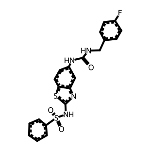 O=C(NCc1ccc(F)cc1)Nc1ccc2sc(NS(=O)(=O)c3ccccc3)nc2c1